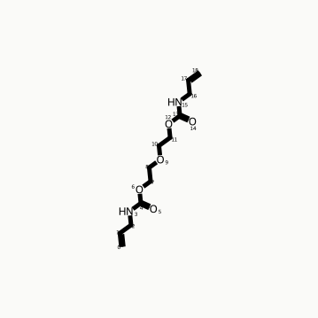 C=CCNC(=O)OCCOCCOC(=O)NCC=C